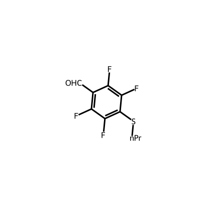 CCCSc1c(F)c(F)c(C=O)c(F)c1F